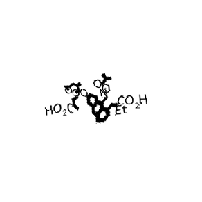 C=C(C)C(=O)ON=Cc1c2ccccc2cc2cccc(C=C(CC)C(=O)O)c12.C=C(CCOC(=O)C(=C)CC1CO1)C(=O)O